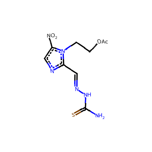 CC(=O)OCCn1c([N+](=O)[O-])cnc1/C=N/NC(N)=S